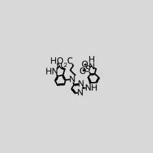 O=C(O)CCCN(c1ccnc(Nc2ccc3c(c2)S(=O)(=O)NC3)n1)c1cccc2[nH]ncc12